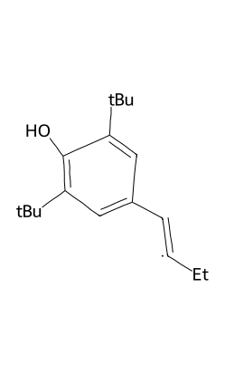 CC/[C]=C/c1cc(C(C)(C)C)c(O)c(C(C)(C)C)c1